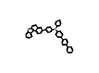 c1ccc(-c2ccc(-c3ccc(N(c4ccccc4)c4ccc(-c5ccc6c(ccc7sc8ccccc8c76)c5)cc4)cc3)cc2)cc1